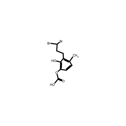 Cc1ccc(OC(=O)O)c(O)c1CCC(Br)Br